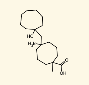 BC1(CC2(O)CCCCCCC2)CCCC(C)(C(=O)O)CCC1